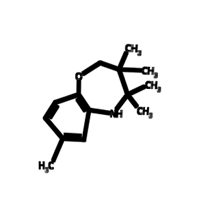 Cc1ccc2c(c1)NC(C)(C)C(C)(C)CO2